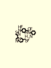 CN(C)Cc1ccc2ncc(-c3csc(Nc4ccc(C(=O)Nc5c(N)cccc5F)cc4F)n3)n2c1